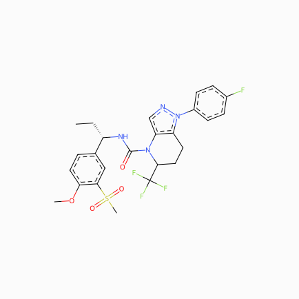 CC[C@H](NC(=O)N1c2cnn(-c3ccc(F)cc3)c2CCC1C(F)(F)F)c1ccc(OC)c(S(C)(=O)=O)c1